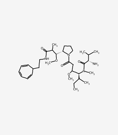 CCC(C)[C@@H](C(CC(=O)N1CCC[C@H]1C(OC)C(C)C(=O)NCCC1C=CC=CC=C1)OC)N(C)C(=O)[C@@H](N)C(C)C